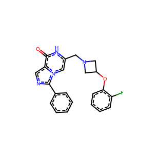 O=c1[nH]c(CN2CC(Oc3ccccc3F)C2)cn2c(-c3ccccc3)ncc12